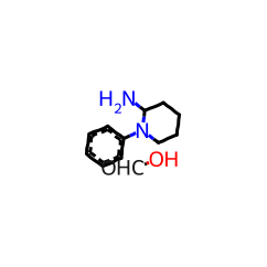 NC1CCCCN1c1ccccc1.O=CO